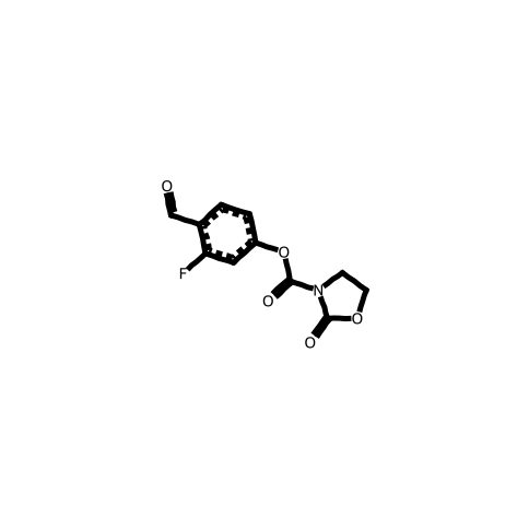 O=Cc1ccc(OC(=O)N2CCOC2=O)cc1F